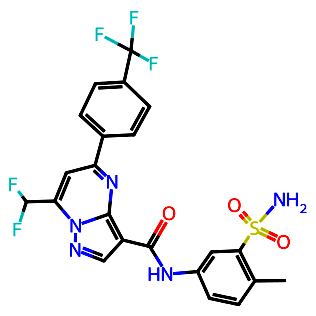 Cc1ccc(NC(=O)c2cnn3c(C(F)F)cc(-c4ccc(C(F)(F)F)cc4)nc23)cc1S(N)(=O)=O